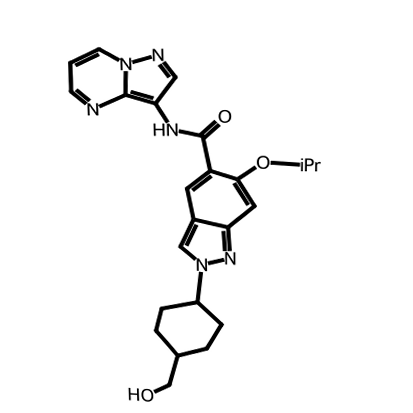 CC(C)Oc1cc2nn(C3CCC(CO)CC3)cc2cc1C(=O)Nc1cnn2cccnc12